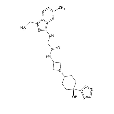 CCn1nc(NCC(=O)NC2CN([C@H]3CC[C@@](O)(c4cncs4)CC3)C2)c2cc(C)ccc21